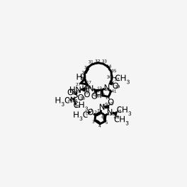 COc1cccc2c1nc(O[C@@H]1C[C@H]3C(=O)N[C@]4(C(=O)NS(=O)(=O)N(C)C)C[C@H]4/C=C\CCCCC[C@H](C)C(=O)N3C1)n2C(C)C